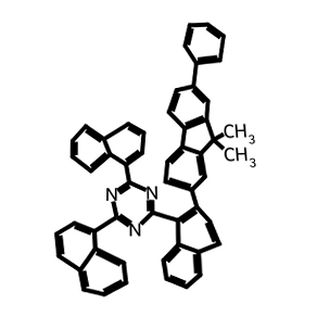 CC1(C)c2cc(-c3ccccc3)ccc2-c2ccc(-c3ccc4ccccc4c3-c3nc(-c4cccc5ccccc45)nc(-c4cccc5ccccc45)n3)cc21